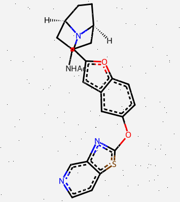 CC(=O)NC1C[C@H]2CC[C@@H](C1)N2Cc1cc2cc(Oc3nc4cnccc4s3)ccc2o1